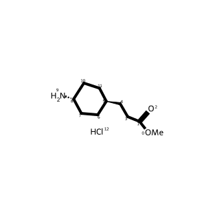 COC(=O)CC[C@H]1CC[C@H](N)CC1.Cl